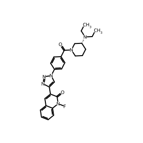 CCN(CC)[C@@H]1CCCN(C(=O)c2ccc(-n3cc(-c4cc5ccccc5n(F)c4=O)nn3)cc2)C1